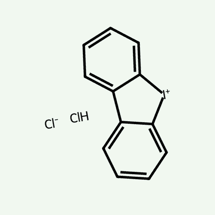 Cl.[Cl-].c1ccc2c(c1)[I+]c1ccccc1-2